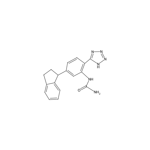 NC(=O)Nc1cc(C2CCc3ccccc32)ccc1-c1nnn[nH]1